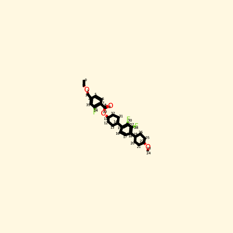 CCOCc1ccc(C(=O)OC2CCC(c3ccc(C4CCC(OC)CC4)c(F)c3F)CC2)c(F)c1